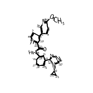 COc1ccc(-c2ccnc(C(=O)NC3=CC(c4nncn4C4CC4)=CC=CC3)c2)cn1